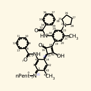 CCCCC/N=C1C=C(NC(=O)c2ccccc2)/C(=C2\C(=O)C(c3cc(C)c(N4CCCC4)cc3NC(=O)c3ccccc3)=C2O)C=C\1C